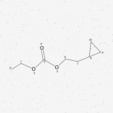 [CH2]COC(=O)OCCC1CC1